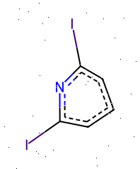 Ic1cccc(I)n1